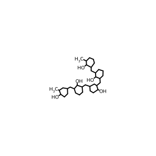 CC1CC(CC2CCCC(CC3CCC(O)C(CC4CCCC(CC5CCCC(C)C5O)C4O)C3)C2O)CCC1O